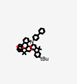 CC(C)(C)c1ccc2c(c1)C(C)(C)c1cc(N(c3ccc(-c4ccccc4)cc3)c3cccc(-c4ccccc4)c3-c3cccc4c3-c3ccccc3C4(C)C)ccc1-2